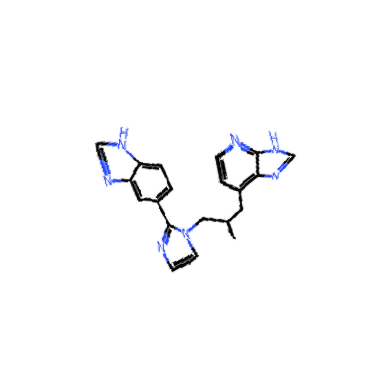 CC(Cc1ccnc2[nH]cnc12)Cn1ccnc1-c1ccc2[nH]cnc2c1